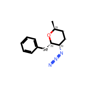 C[C@H]1[CH][CH][C@H](N=[N+]=[N-])[C@H]([Se]c2ccccc2)O1